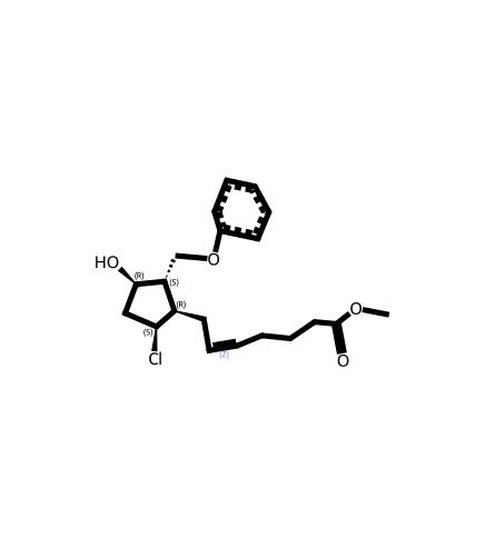 COC(=O)CCC/C=C\C[C@@H]1[C@@H](COc2ccccc2)[C@H](O)C[C@@H]1Cl